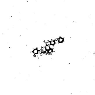 Cc1nc(Oc2ccccc2)ccc1N1C(=O)Nc2c(C(=O)NC3CCCC(N)C3)sc3nccc1c23